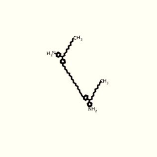 CCCCCCCCCCCC(c1ccc(N)cc1)c1ccc(CCCCCCCCCCCCCCCCCCCc2ccc(C(CCCCCCCCCCC)c3ccc(N)cc3)cc2)cc1